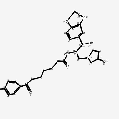 O=C(CCCCCC(=O)c1ccc(F)cc1)N[C@H](CN1CCC(O)C1)[C@H](O)c1ccc2c(c1)OCCO2